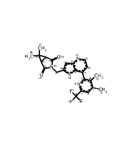 Cc1cc(C(F)(F)F)nc(-c2ccnc3cc(CN4C(=O)C5C(C4=O)C5(C)C)sc23)c1C